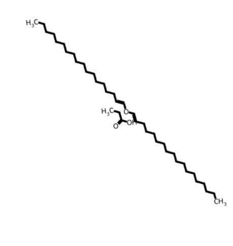 CCC(=O)O.CCCCCCCCCCCCCCCCC=COC=CCCCCCCCCCCCCCCCC